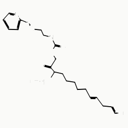 CCC=CCC=CCCCCCC(CCCCCCC)C(=O)COC(=O)NCCSSc1ccccn1